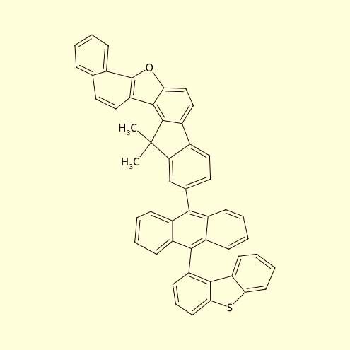 CC1(C)c2cc(-c3c4ccccc4c(-c4cccc5sc6ccccc6c45)c4ccccc34)ccc2-c2ccc3oc4c5ccccc5ccc4c3c21